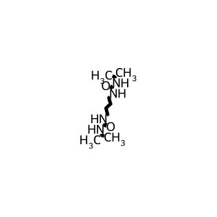 CC(C)NC(=O)NCCCCNC(=O)NC(C)C